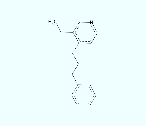 CCc1cnccc1CCCc1ccccc1